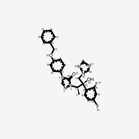 C[C@@H](n1ncn(-c2ccc(OCc3ccccc3)cc2)c1=O)[C@](O)(Cn1cncn1)c1ccc(F)cc1F